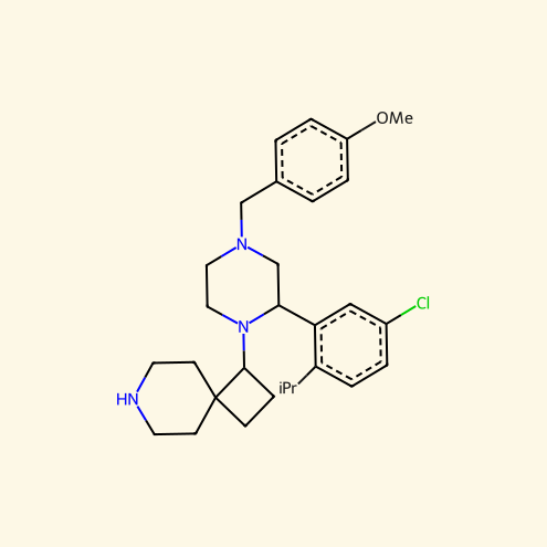 COc1ccc(CN2CCN(C3CCC34CCNCC4)C(c3cc(Cl)ccc3C(C)C)C2)cc1